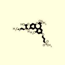 CSCC[C@H](Nc1ccc2c(c1)-c1c(C)cc(OCCCS(C)(=O)=O)cc1CC(C)(C)O2)C(=O)O